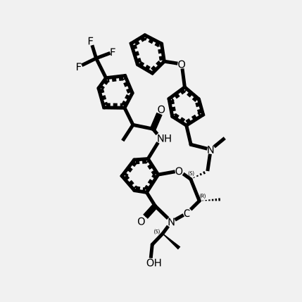 CC(C(=O)Nc1cccc2c1O[C@H](CN(C)Cc1ccc(Oc3ccccc3)cc1)[C@H](C)CN([C@@H](C)CO)C2=O)c1ccc(C(F)(F)F)cc1